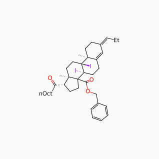 CCC=C1C=C2CC[C@@]3(I)C4(C(=O)OCc5ccccc5)CC[C@H](C(=O)CCCCCCCC)[C@@]4(C)CC[C@]3(I)[C@@]2(C)CC1